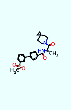 C[C@H](NC(=O)c1ccc(-c2cccc(S(C)(=O)=O)c2)cc1)C(=O)N1CCC2(CC1)CC2